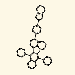 c1ccc(-c2c3c(c(-c4ccccc4)c4ccccc24)-c2ccc(-c4ccc(-c5cc6ccccn6c5)cc4)c4cccc-3c24)cc1